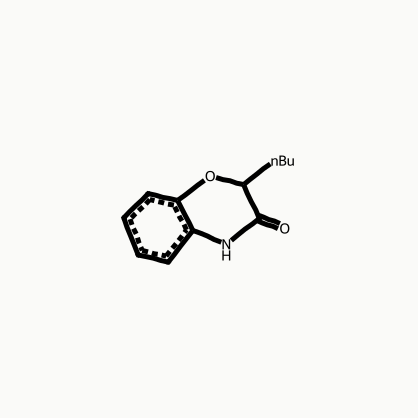 CCCCC1Oc2ccccc2NC1=O